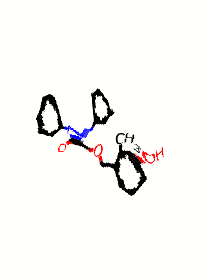 Cc1c(O)cccc1COC(=O)N(c1ccccc1)c1ccccc1